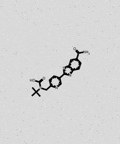 CC(C)(C)N(Cc1ccc(-c2nc3ccc(C(N)=O)cc3s2)cn1)C(=O)O